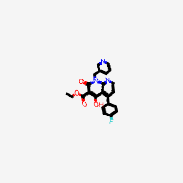 CCOC(=O)c1c(O)c2c(-c3ccc(F)cc3)ccnc2n(Cc2cccnc2)c1=O